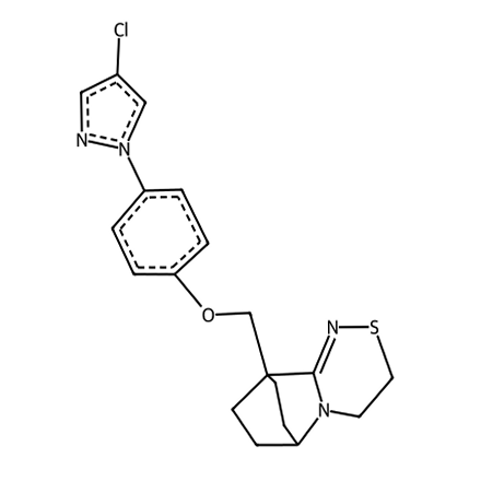 Clc1cnn(-c2ccc(OCC34CCC(CC3)N3CCSN=C34)cc2)c1